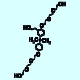 CC(C)(c1ccc(OCCOCCOCCO)cc1)c1ccc(OCCOCCOCCO)c(CCO)c1